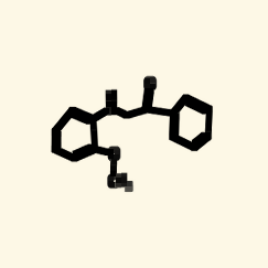 COc1ccccc1NCC(=O)c1ccccc1